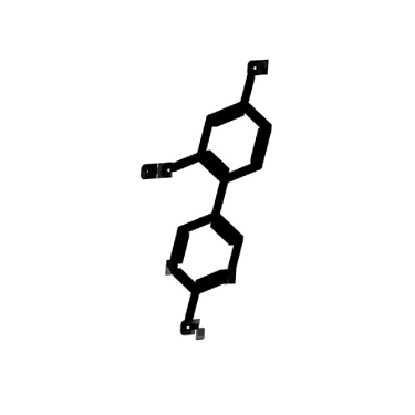 N#Cc1ccc(-c2cnc(C(F)(F)F)nc2)c(C=O)c1